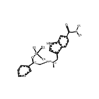 CCN(CC)C(=O)c1ccc2c(C[C@@H](C)NC[C@H](O[Si](CC)(CC)CC)c3cccnc3)c[nH]c2c1